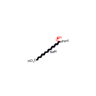 CCCCCC(/C=C/C=C/C/C=C/C/C=C/CCCC(=O)O)OO.[NaH]